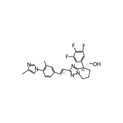 Cc1cn(-c2ccc(/C=C/c3nc4n(n3)CCC[C@]4(CO)c3cc(F)c(F)c(F)c3)cc2C)cn1